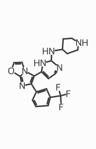 FC(F)(F)c1cccc(-c2nc3occn3c2C2=CC=NC(NC3CCNCC3)N2)c1